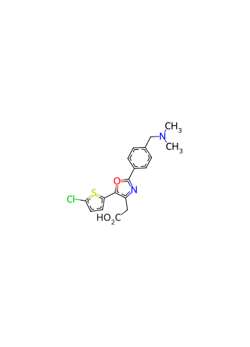 CN(C)Cc1ccc(-c2nc(CC(=O)O)c(-c3ccc(Cl)s3)o2)cc1